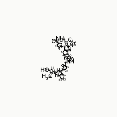 C[C@H]1CCN1c1nc(-c2ccc(C(N)=O)s2)c2c(n1)C(CS(=O)(=O)NCc1ccc(-c3nc(N4C[C@@H](O)[C@@H]4C)nc4c3CCC4)s1)CC2